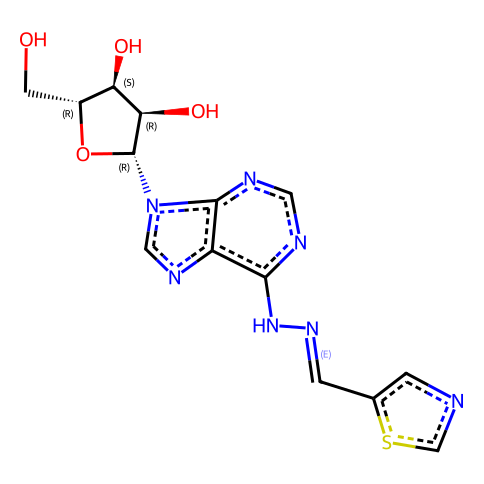 OC[C@H]1O[C@@H](n2cnc3c(N/N=C/c4cncs4)ncnc32)[C@H](O)[C@@H]1O